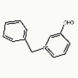 O=[C]c1ccc[n+](Cc2ccccc2)c1